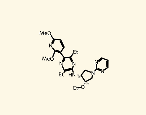 CCO[C@H]1CN(c2ncccn2)C[C@H]1Nc1nc(CC)c(-c2ccc(OC)nc2OC)nc1CC